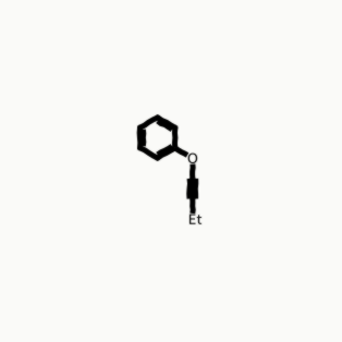 CCC#COc1ccccc1